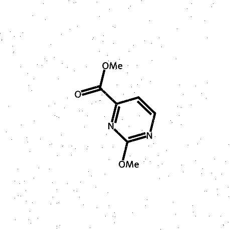 COC(=O)c1ccnc(OC)n1